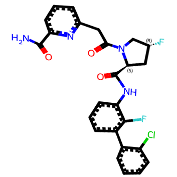 NC(=O)c1cccc(CC(=O)N2C[C@H](F)C[C@H]2C(=O)Nc2cccc(-c3ccccc3Cl)c2F)n1